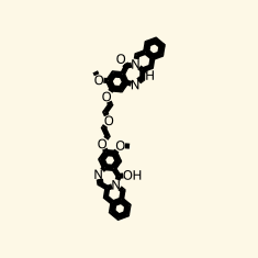 COc1cc2c(cc1OCCOCCOc1cc3c(cc1OC)C(O)N1Cc4ccccc4CC1C=N3)N=C[C@@H]1Cc3ccccc3CN1C2=O